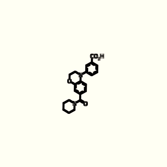 O=C(O)c1cccc(N2CCOc3cc(C(=O)N4CCCCC4)ccc32)c1